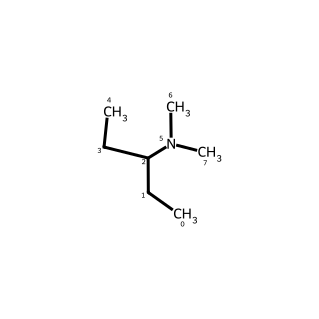 CCC(CC)N(C)C